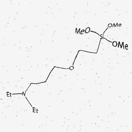 CCN(CC)CCCOCC[Si](OC)(OC)OC